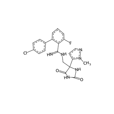 Cn1nccc1C1(CNC(=N)c2c(F)cccc2-c2ccc(Cl)cc2)NC(=O)NC1=O